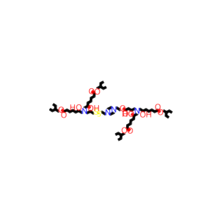 CCC(CC)COC(=O)CCCCC(O)CN(CCCSSCCN1CCN(CCOC(=O)CCCN(CC(O)CCCCC(=O)OCC(CC)CC)CC(O)CCCCC(=O)OCC(CC)CC)CC1)CC(O)CCCCC(=O)OCC(CC)CC